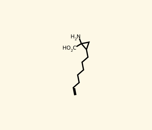 C=CCCCCCC1CC1(N)C(=O)O